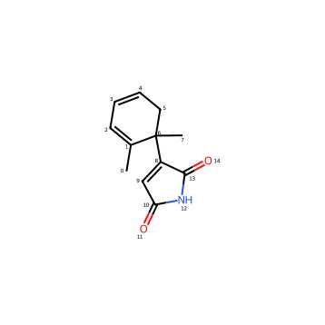 CC1=CC=CCC1(C)C1=CC(=O)NC1=O